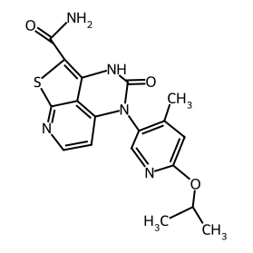 Cc1cc(OC(C)C)ncc1N1C(=O)Nc2c(C(N)=O)sc3nccc1c23